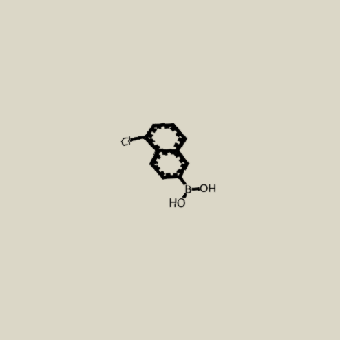 OB(O)c1ccc2c(Cl)cccc2c1